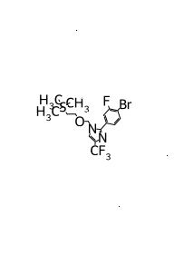 CS(C)(C)CCOCn1cc(C(F)(F)F)nc1-c1ccc(Br)c(F)c1